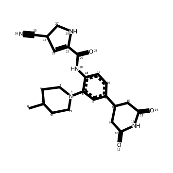 CC1CCN(c2cc(C3CC(=O)NC(=O)C3)ccc2NC(=O)C2=CC(C#N)CN2)CC1